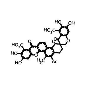 CC(=O)c1c2c(c3ccc4c(=O)c5c(C(=O)O)c(O)c(O)cc5oc4c3c1C)C(=O)C1(CC2)COc2cc(O)c(O)c(C(=O)O)c2C1=O